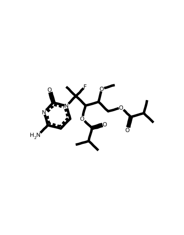 COC(COC(=O)C(C)C)C(OC(=O)C(C)C)C(C)(F)n1ccc(N)nc1=O